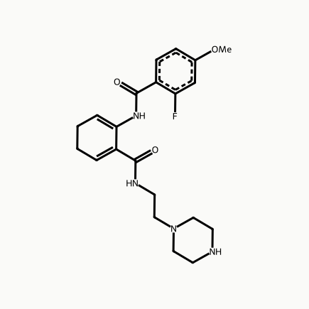 COc1ccc(C(=O)NC2=CCCC=C2C(=O)NCCN2CCNCC2)c(F)c1